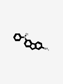 CCN(c1ccccc1)c1ccc2c(c1)-c1ccc(N)cc1C2